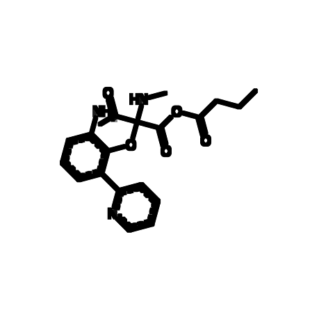 CCCC(=O)OC(=O)C(NC)(Oc1c(N)cccc1-c1ccccn1)C(C)=O